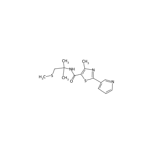 CSCC(C)(C)NC(=O)c1sc(-c2cccnc2)nc1C